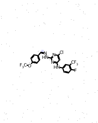 Fc1ccc(Nc2cc(Cl)nc(N/N=C\c3ccc(OC(F)(F)F)cc3)n2)cc1C(F)(F)F